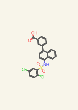 O=C(O)c1cccc(-c2ccc(NS(=O)(=O)c3cc(Cl)ccc3Cl)c3ccccc23)c1